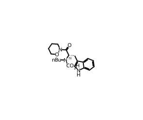 CCCCN(C(=O)O)[C@@H](Cc1c[nH]c2ccccc12)C(=O)N1CCCCO1